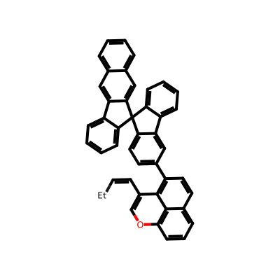 CC/C=C\C1=COc2cccc3ccc(-c4ccc5c(c4)-c4ccccc4C54c5ccccc5-c5cc6ccccc6cc54)c1c23